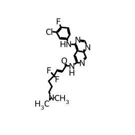 CN(C)CCCC(F)(F)C=CC(=O)Nc1cc2c(Nc3ccc(F)c(Cl)c3)ncnc2cn1